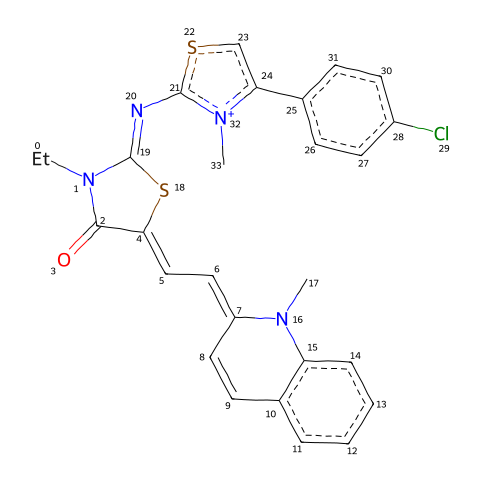 CCN1C(=O)/C(=C/C=C2\C=Cc3ccccc3N2C)S/C1=N\c1scc(-c2ccc(Cl)cc2)[n+]1C